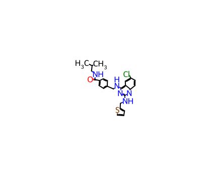 CC(C)CNC(=O)c1ccc(CNc2nc(NCc3cccs3)nc3ccc(Cl)cc23)cc1